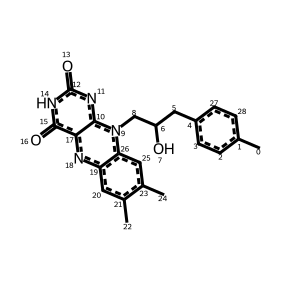 Cc1ccc(CC(O)Cn2c3nc(=O)[nH]c(=O)c-3nc3cc(C)c(C)cc32)cc1